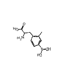 Cc1cc(B(O)O)ccc1CC(N)C(=O)O